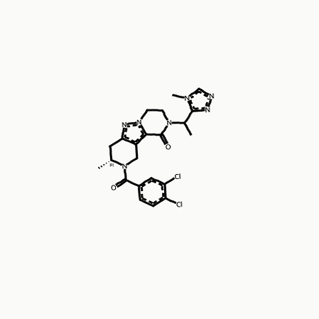 CC(c1nncn1C)N1CCn2nc3c(c2C1=O)CN(C(=O)c1ccc(Cl)c(Cl)c1)[C@H](C)C3